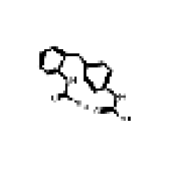 NC(=O)Nc1ccccc1Cc1ccc(NC(=O)O)cc1